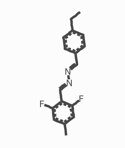 CCc1ccc(C=NN=Cc2c(F)cc(C)cc2F)cc1